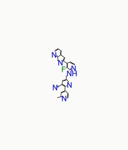 Cc1cc(-c2ncc(CNc3nccc(-c4cc5cccnc5cn4)c3F)cc2C#N)ccn1